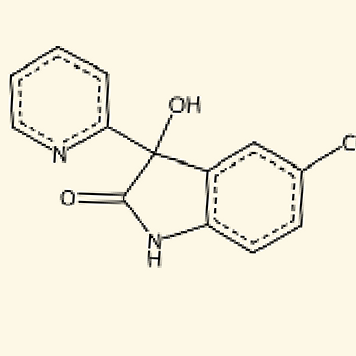 O=C1Nc2ccc(Cl)cc2C1(O)c1ccccn1